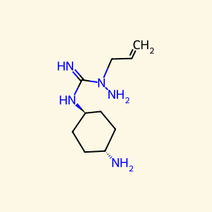 C=CCN(N)C(=N)N[C@H]1CC[C@H](N)CC1